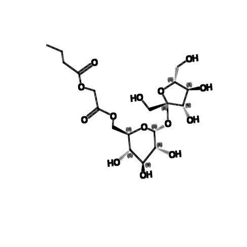 CCCC(=O)OCC(=O)OC[C@H]1O[C@H](O[C@]2(CO)O[C@H](CO)[C@@H](O)[C@@H]2O)[C@H](O)[C@@H](O)[C@@H]1O